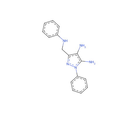 Nc1c(CNc2ccccc2)nn(-c2ccccc2)c1N